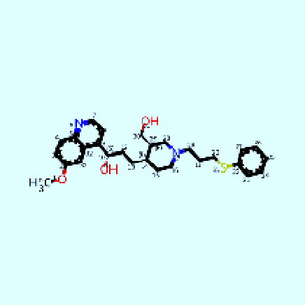 COc1ccc2nccc([C@@H](O)CC[C@@H]3CCN(CCCSc4ccccc4)C[C@@H]3CO)c2c1